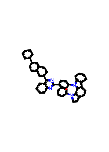 c1ccc(-c2ccc3cc(-c4nc(-c5ccc(-n6c7ccccc7c7ccc8ccn(-c9ccccc9)c8c76)cc5)nc5ccccc45)ccc3c2)cc1